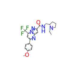 CCN1CCCC1CNC(=O)c1cc2nc(-c3ccc(OC)cc3)cc(C(F)(F)F)n2n1